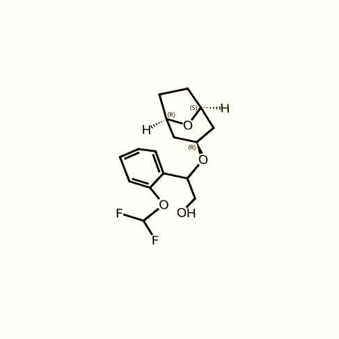 OCC(O[C@H]1C[C@H]2CC[C@@H](C1)O2)c1ccccc1OC(F)F